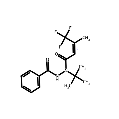 C/C(=C/C(=O)N(NC(=O)c1ccccc1)C(C)(C)C)C(F)(F)F